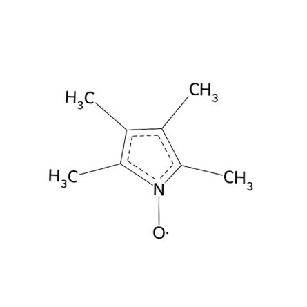 Cc1c(C)c(C)n([O])c1C